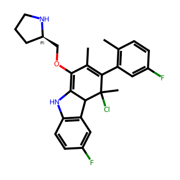 CC1=C(c2cc(F)ccc2C)C(C)(Cl)C2C(=C1OC[C@H]1CCCN1)Nc1ccc(F)cc12